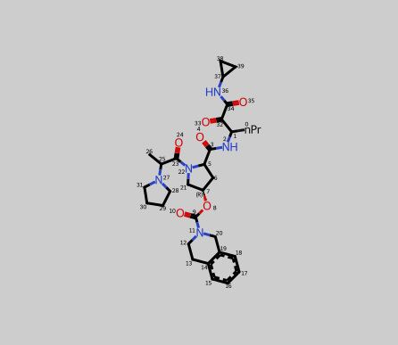 CCCC(NC(=O)C1C[C@@H](OC(=O)N2CCc3ccccc3C2)CN1C(=O)C(C)N1CCCC1)C(=O)C(=O)NC1CC1